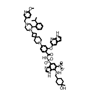 COc1ccc(CN2CCN(C3CC4(CCN(c5ccc(C(=O)NS(=O)(=O)c6cc([N+](=O)[O-])c(NCC7CCC(C)(O)CC7)c7[nH]cnc67)c(Oc6cnc7[nH]ccc7c6)c5)CC4)C3)C(c3ccccc3C(C)C)C2)cn1